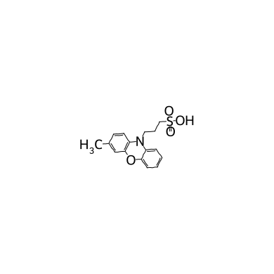 Cc1ccc2c(c1)Oc1ccccc1N2CCCS(=O)(=O)O